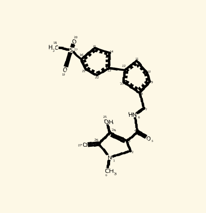 CN1CC(C(=O)NCc2cccc(-c3ccc(S(C)(=O)=O)cc3)c2)=C(O)C1=O